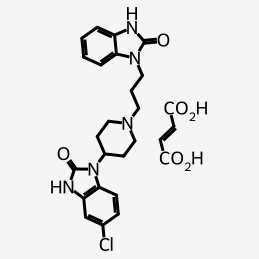 O=C(O)C=CC(=O)O.O=c1[nH]c2ccccc2n1CCCN1CCC(n2c(=O)[nH]c3cc(Cl)ccc32)CC1